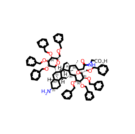 C[C@H](CCC(=O)NCC(=O)O)[C@H]1CC[C@H]2[C@@H]3[C@@H](C4O[C@H](COCc5ccccc5)[C@@H](OCc5ccccc5)[C@H](OCc5ccccc5)[C@H]4OCc4ccccc4)C[C@@H]4C[C@@H](N)CC[C@]4(C)[C@H]3C[C@@H]([C@@H]3O[C@H](COCc4ccccc4)[C@@H](OCc4ccccc4)[C@H](OCc4ccccc4)[C@H]3OCc3ccccc3)[C@]12C